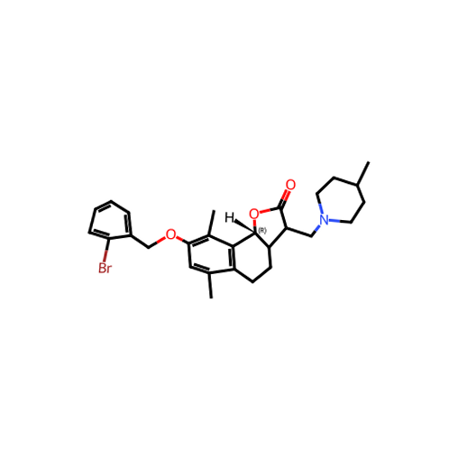 Cc1cc(OCc2ccccc2Br)c(C)c2c1CCC1C(CN3CCC(C)CC3)C(=O)O[C@@H]21